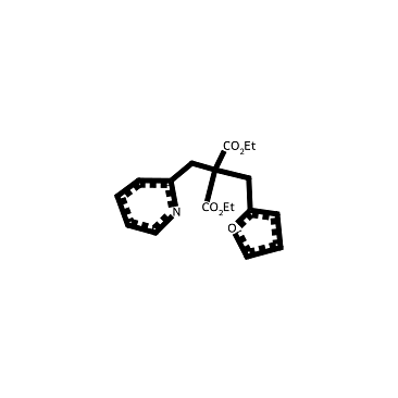 CCOC(=O)C(Cc1ccccn1)(Cc1ccco1)C(=O)OCC